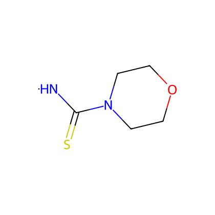 [NH]C(=S)N1CCOCC1